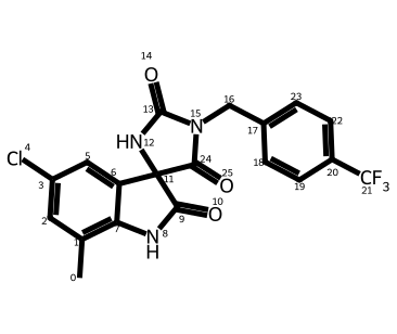 Cc1cc(Cl)cc2c1NC(=O)C21NC(=O)N(Cc2ccc(C(F)(F)F)cc2)C1=O